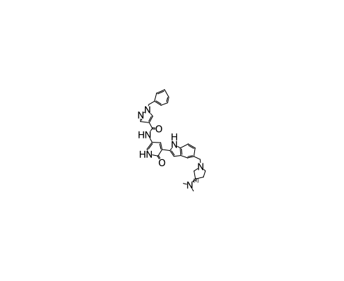 CN(C)[C@@H]1CCN(Cc2ccc3[nH]c(-c4cc(NC(=O)c5cnn(Cc6ccccc6)c5)c[nH]c4=O)cc3c2)C1